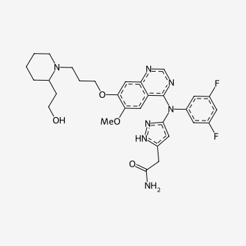 COc1cc2c(N(c3cc(F)cc(F)c3)c3cc(CC(N)=O)[nH]n3)ncnc2cc1OCCCN1CCCCC1CCO